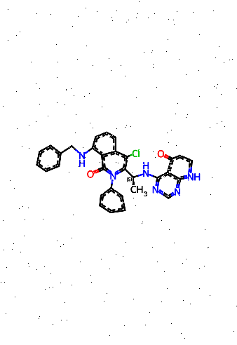 C[C@H](Nc1ncnc2[nH]ccc(=O)c12)c1c(Cl)c2cccc(NCc3ccccc3)c2c(=O)n1-c1ccccc1